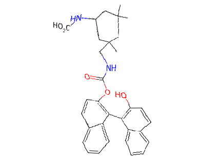 CC1(C)CC(NC(=O)O)CC(C)(CNC(=O)Oc2ccc3ccccc3c2-c2c(O)ccc3ccccc23)C1